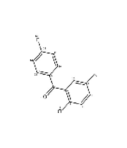 Cc1ccc(Cl)c(C(=O)c2ccc(F)cc2)c1